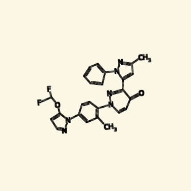 Cc1cc(-c2nn(-c3ccc(-n4nccc4OC(F)F)cc3C)ccc2=O)n(-c2ccccc2)n1